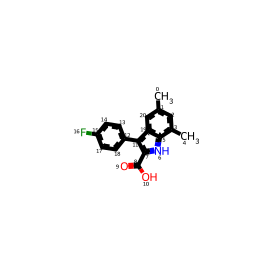 Cc1cc(C)c2[nH]c(C(=O)O)c(-c3ccc(F)cc3)c2c1